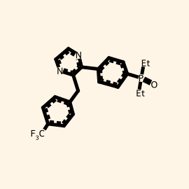 CCP(=O)(CC)c1ccc(-c2nccnc2Cc2ccc(C(F)(F)F)cc2)cc1